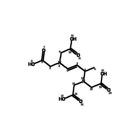 CC(C=CN(CC(=O)O)CC(=O)O)N(CC(=O)O)CC(=O)O